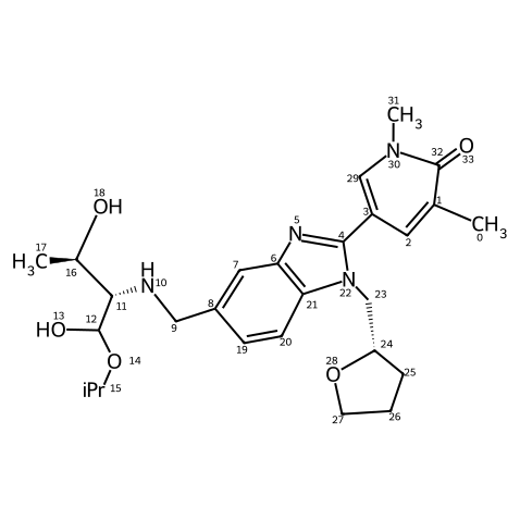 Cc1cc(-c2nc3cc(CN[C@H](C(O)OC(C)C)[C@@H](C)O)ccc3n2C[C@@H]2CCCO2)cn(C)c1=O